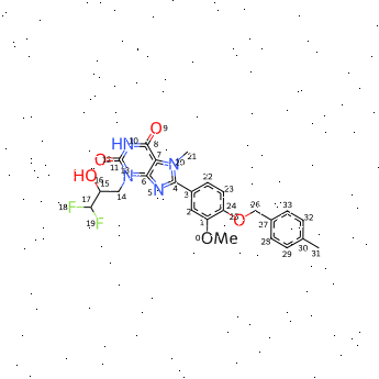 COc1cc(-c2nc3c(c(=O)[nH]c(=O)n3CC(O)C(F)F)n2C)ccc1OCc1ccc(C)cc1